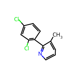 Cc1cccnc1-c1ccc(Cl)cc1Cl